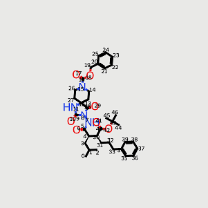 CC(C)C[C@@H](C(=O)NN1C(=O)NC2(CCN(C(=O)OCc3ccccc3)CC2)C1=O)[C@H](CCCc1ccccc1)C(=O)OC(C)(C)C